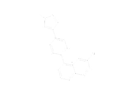 Cn1cc(-c2ccc(-c3cncc4ncc(N)cc34)cc2)cn1